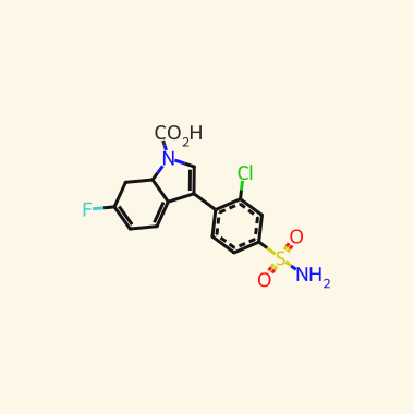 NS(=O)(=O)c1ccc(C2=CN(C(=O)O)C3CC(F)=CC=C23)c(Cl)c1